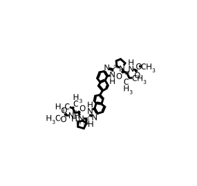 COC(=O)N[C@H](C(=O)N1CCC[C@H]1c1nc2ccc3cc(-c4ccc5c(ccc6nc([C@@H]7[C@H]8CC[C@H](C8)N7C(=O)[C@@H](NC(=O)OC)C(C)C)[nH]c65)c4)ccc3c2[nH]1)C(C)C